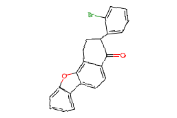 O=C1c2ccc3c(oc4ccccc43)c2CCC1c1ccccc1Br